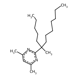 CCCCCCCC(C)(CCCCC)c1nc(C)cc(C)n1